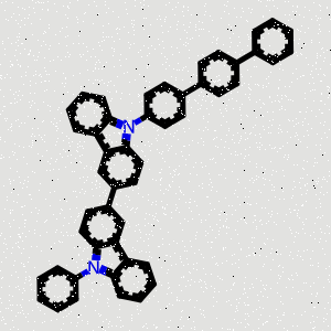 c1ccc(-c2ccc(-c3ccc(-n4c5ccccc5c5cc(-c6ccc7c(c6)c6ccccc6n7-c6ccccc6)ccc54)cc3)cc2)cc1